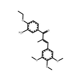 CCOc1ccc(C(=O)/C(C)=C/c2cc(OC)c(OC)c(OC)c2)cc1N